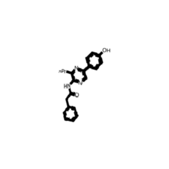 CCCc1nc(-c2ccc(O)cc2)cnc1NC(=O)Cc1ccccc1